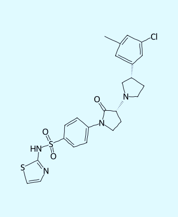 Cc1cc(Cl)cc([C@@H]2CCN([C@@H]3CCN(c4ccc(S(=O)(=O)Nc5nccs5)cc4)C3=O)C2)c1